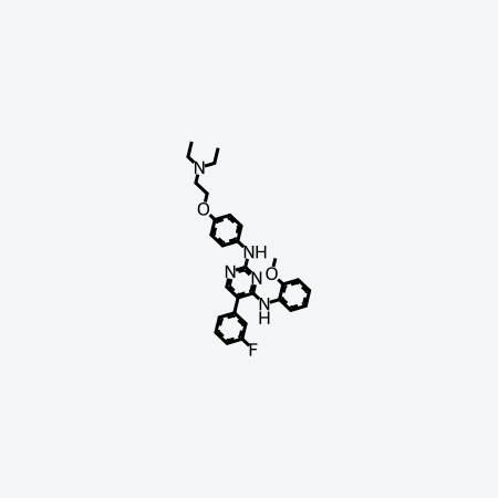 CCN(CC)CCOc1ccc(Nc2ncc(-c3cccc(F)c3)c(Nc3ccccc3OC)n2)cc1